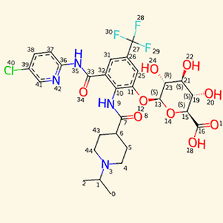 CC(C)N1CCC(C(=O)Nc2c(O[C@@H]3O[C@H](C(=O)O)[C@@H](O)[C@H](O)[C@H]3O)cc(C(F)(F)F)cc2C(=O)Nc2ccc(Cl)cn2)CC1